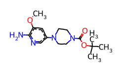 COc1cc(N2CCN(C(=O)OC(C)(C)C)CC2)cnc1N